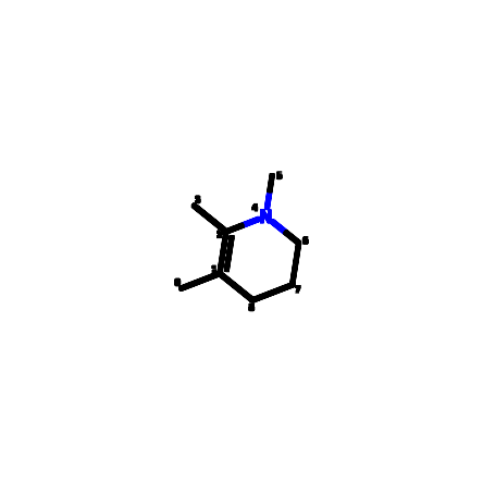 CC1=C(C)N(C)CCC1